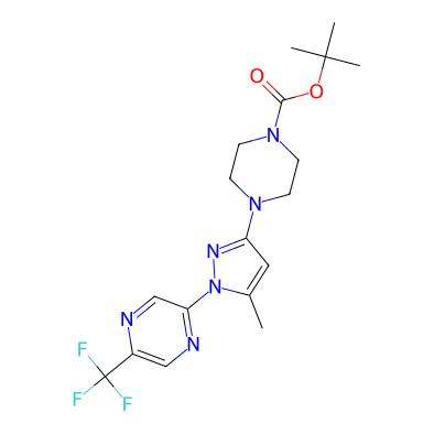 Cc1cc(N2CCN(C(=O)OC(C)(C)C)CC2)nn1-c1cnc(C(F)(F)F)cn1